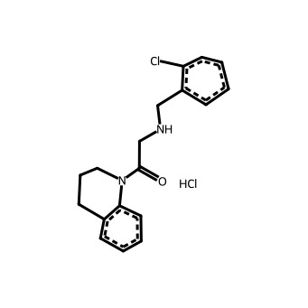 Cl.O=C(CNCc1ccccc1Cl)N1CCCc2ccccc21